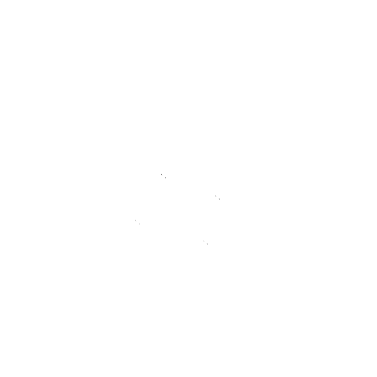 Cc1cn2ccnc2c(C#N)n1